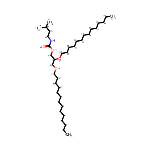 CCCCCCCCCCCCCCOCC(COC(=O)NCCC(C)C)OCCCCCCCCCCCCCC